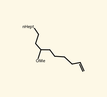 [CH2]CCCCCCCCC(CCCCC=C)OC